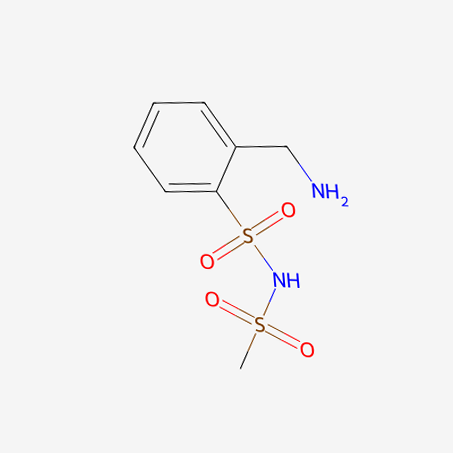 CS(=O)(=O)NS(=O)(=O)c1ccccc1CN